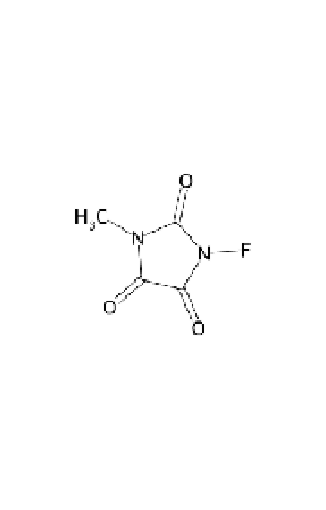 CN1C(=O)C(=O)N(F)C1=O